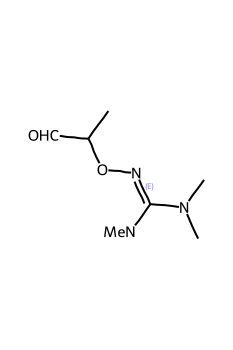 CN/C(=N\OC(C)C=O)N(C)C